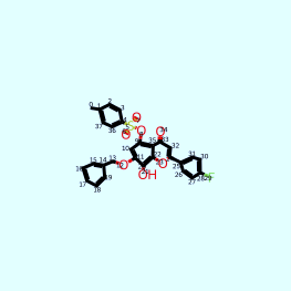 Cc1ccc(S(=O)(=O)Oc2cc(OCc3ccccc3)c(O)c3oc(-c4ccc(F)cc4)cc(=O)c23)cc1